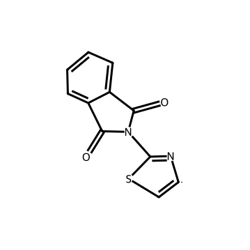 O=C1c2ccccc2C(=O)N1c1n[c]cs1